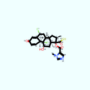 C[C@@H]1C[C@H]2[C@@H]3C[C@H](F)C4=CC(=O)C=C[C@]4(C)[C@@]3(F)[C@@H](O)C[C@]2(C)[C@@]1(OC(=O)c1cncn1C)C(=O)S